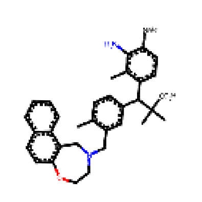 CNc1ccc(C(c2ccc(C)c(CN3CCOc4ccc5ccccc5c4C3)c2)C(C)(C)C(=O)O)c(C)c1N